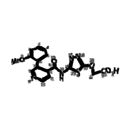 COc1ccccc1-c1cnccc1C(=O)Nc1nnc(OCC(=O)O)s1